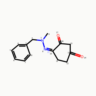 CN(Cc1ccccc1)/N=C1/CCC(=O)CC1=O